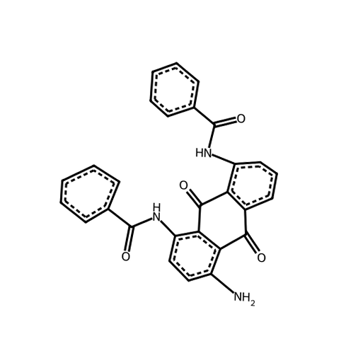 Nc1ccc(NC(=O)c2ccccc2)c2c1C(=O)c1cccc(NC(=O)c3ccccc3)c1C2=O